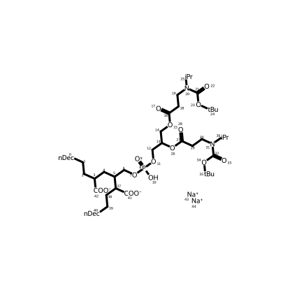 CCCCCCCCCCCCC(CC(COP(=O)(O)OCC(COC(=O)CCN(C(=O)OC(C)(C)C)C(C)C)OC(=O)CCN(C(=O)OC(C)(C)C)C(C)C)C(CCCCCCCCCCCC)C(=O)[O-])C(=O)[O-].[Na+].[Na+]